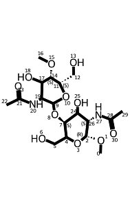 CO[C@@H]1OC(CO)[C@@H](OC2O[C@@H](CO)[C@@H](OC)C(O)C2NC(C)=O)C(O)[C@@H]1NC(C)=O